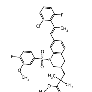 COC(=O)C(C)(C)C[C@@H]1Cc2ccc(/C=C(\C)c3c(F)cccc3Cl)cc2N(S(=O)(=O)c2ccc(F)c(OC)c2)C1